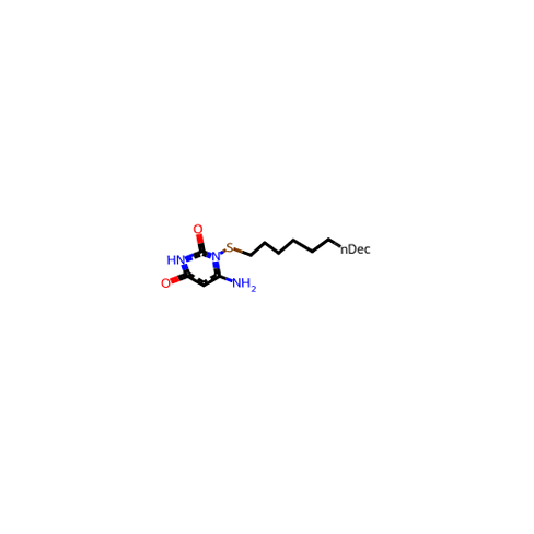 CCCCCCCCCCCCCCCCSn1c(N)cc(=O)[nH]c1=O